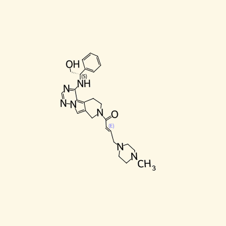 CN1CCN(C/C=C/C(=O)N2CCc3c(cn4ncnc(N[C@H](CO)c5ccccc5)c34)C2)CC1